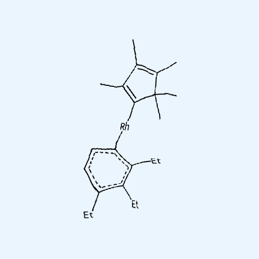 CCc1cc[c]([Rh][C]2=C(C)C(C)=C(C)C2(C)C)c(CC)c1CC